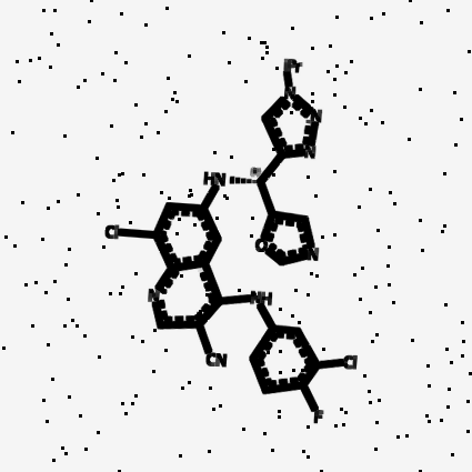 CC(C)n1cc([C@@H](Nc2cc(Cl)c3ncc(C#N)c(Nc4ccc(F)c(Cl)c4)c3c2)c2cnco2)nn1